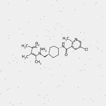 C=C(C)/C(C)=C(/C)N(N)C[C@H]1CC[C@H](NC(=O)c2cc(Cl)cnc2C)CC1